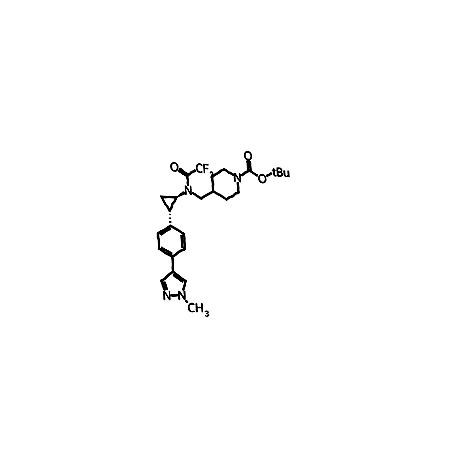 Cn1cc(-c2ccc([C@@H]3C[C@H]3N(CC3CCN(C(=O)OC(C)(C)C)CC3)C(=O)C(F)(F)F)cc2)cn1